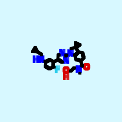 CN(CCO)C(=O)c1ccc2c(c1)N(c1ncc(-c3cc(NCC4CC4)ccc3F)cn1)CC21CC1